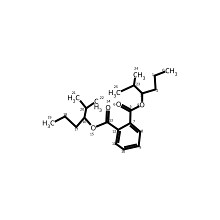 CCCC(OC(=O)c1ccccc1C(=O)OC(CCC)C(C)C)C(C)C